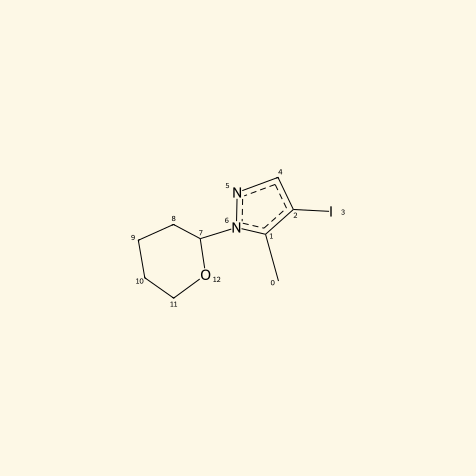 Cc1c(I)cnn1C1CCCCO1